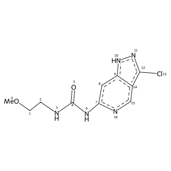 COCCNC(=O)Nc1cc2[nH]nc(Cl)c2cn1